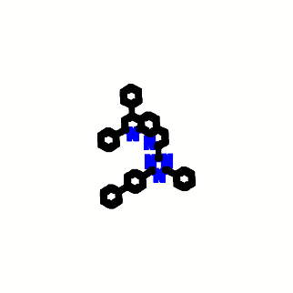 c1ccc(-c2ccc(-c3nc(-c4ccccc4)nc(-c4ccc5ccc6c(-c7ccccc7)cc(-c7ccccc7)nc6c5n4)n3)cc2)cc1